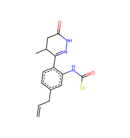 C=CCc1ccc(C2=NNC(=O)CC2C)c(NC(=O)S)c1